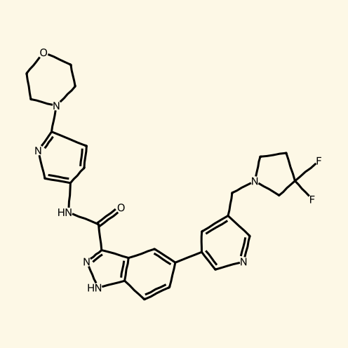 O=C(Nc1ccc(N2CCOCC2)nc1)c1n[nH]c2ccc(-c3cncc(CN4CCC(F)(F)C4)c3)cc12